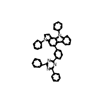 c1ccc(-c2nc(-c3ccccc3)nc(-c3cccc(-c4cc5c(ccn5-c5ccccc5)c5c4c4ccccc4n5-c4ccccc4)c3)n2)cc1